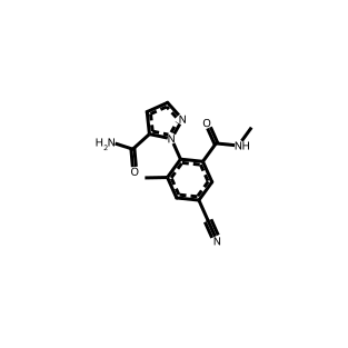 CNC(=O)c1cc(C#N)cc(C)c1-n1nccc1C(N)=O